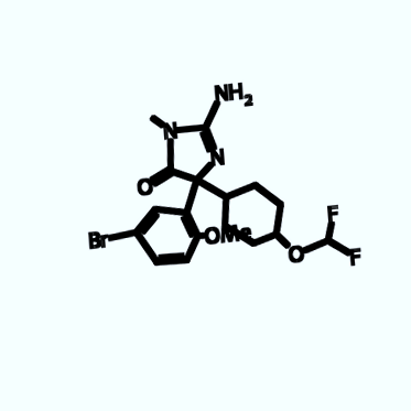 COc1ccc(Br)cc1C1(C2CCC(OC(F)F)CC2)N=C(N)N(C)C1=O